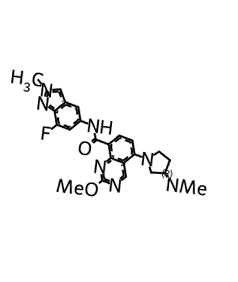 CN[C@@H]1CCN(c2ccc(C(=O)Nc3cc(F)c4nn(C)cc4c3)c3nc(OC)ncc23)C1